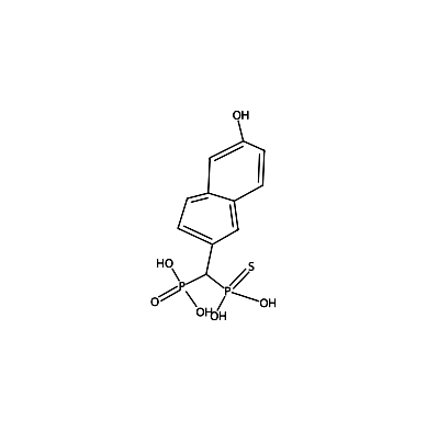 O=P(O)(O)C(c1ccc2cc(O)ccc2c1)P(O)(O)=S